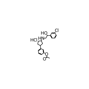 CC(=O)Oc1cccc(C2CCC(NCC(O)c3cccc(Cl)c3)C2)c1.Cl